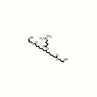 CCC/C=C\COC(=O)CCCCCC(CCCCCC(=O)OC/C=C\CCC)OC(=O)CCCN(C)C